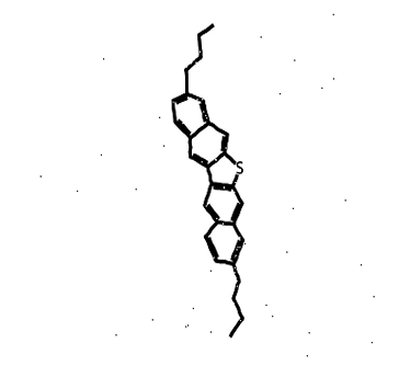 CCCCc1ccc2cc3c(cc2c1)sc1cc2cc(CCCC)ccc2cc13